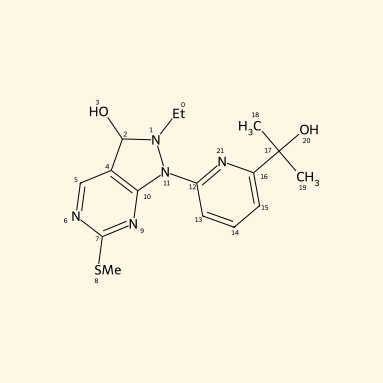 CCN1C(O)c2cnc(SC)nc2N1c1cccc(C(C)(C)O)n1